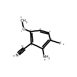 COc1ccc(F)c(N)c1C#N